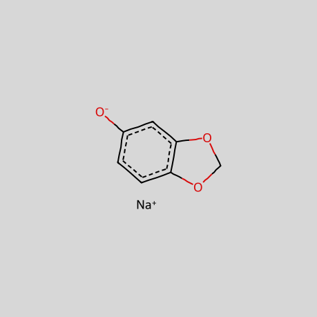 [Na+].[O-]c1ccc2c(c1)OCO2